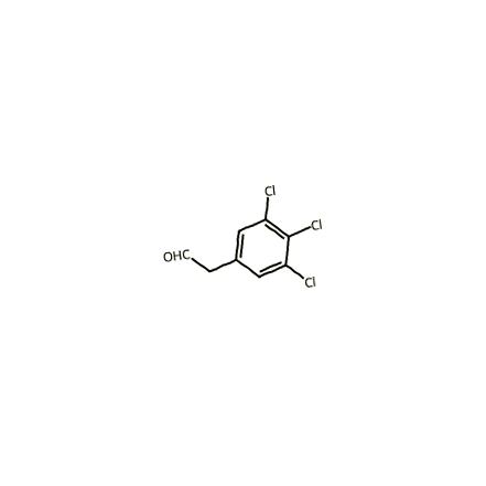 O=CCc1cc(Cl)c(Cl)c(Cl)c1